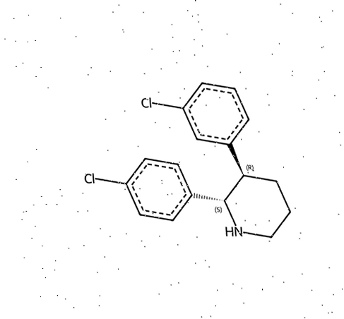 Clc1ccc([C@H]2NCCC[C@@H]2c2cccc(Cl)c2)cc1